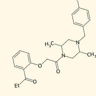 CCC(=O)c1ccccc1OCC(=O)N1CC(C)N(Cc2ccc(F)cc2)CC1C